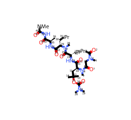 CCCC(=O)N(C)CC(=O)N(C)[C@@H](CC(C)(C)OC(=O)N(C)C)C(=O)N[C@H](C(=O)N(C)[C@@H](CC(C)C)C(=O)N[C@H](C)C(=O)NC(=O)NC)C(C)C